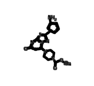 CC(C)(C)OC(=O)N1CCN(c2cc(=O)nc3sc(-c4cccc(N)c4)nn23)CC1